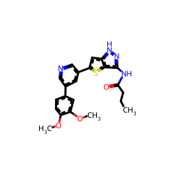 CCCC(=O)Nc1n[nH]c2cc(-c3cncc(-c4ccc(OC)c(OC)c4)c3)sc12